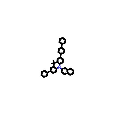 CC1(C)c2cc(-c3ccccc3)ccc2N(c2ccc3ccccc3c2)c2ccc(-c3ccc(-c4ccccc4)cc3)cc21